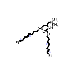 CC/C=C/C/C=C/CCCSSCC(CN(C)C)NC(=O)OCC/C=C/C/C=C/CC